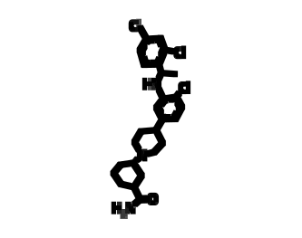 CC(Nc1cc(C2CCN([C@@H]3CCCC(C(N)=O)C3)CC2)ccc1Cl)c1ccc(Cl)cc1Cl